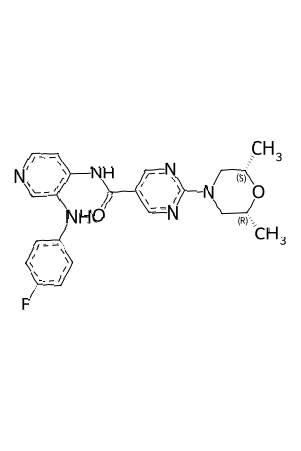 C[C@@H]1CN(c2ncc(C(=O)Nc3ccncc3Nc3ccc(F)cc3)cn2)C[C@H](C)O1